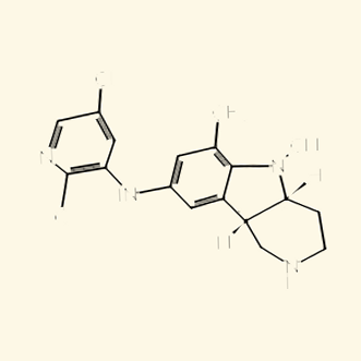 CN1c2c(cc(Nc3cc(Cl)cnc3Cl)cc2C(F)(F)F)[C@H]2CNCC[C@H]21